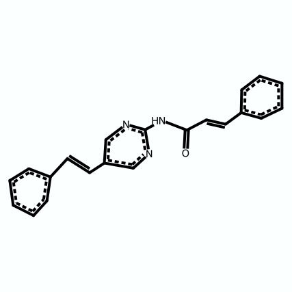 O=C(C=Cc1ccccc1)Nc1ncc(C=Cc2ccccc2)cn1